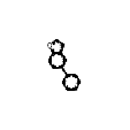 [c]1cccc(-c2ccc3occc3c2)c1